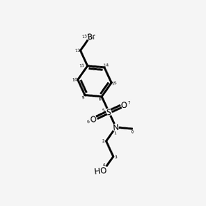 CN(CCO)S(=O)(=O)c1ccc(CBr)cc1